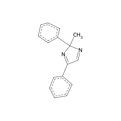 CC1(c2ccccc2)N=CC(c2ccccc2)=N1